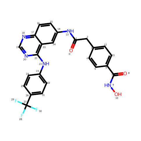 O=C(Cc1ccc(C(=O)NO)cc1)Nc1ccc2ncnc(Nc3ccc(C(F)(F)F)cc3)c2c1